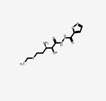 CCSCC[C@@H](N)C(O)C(=O)NNC(=O)c1ccno1